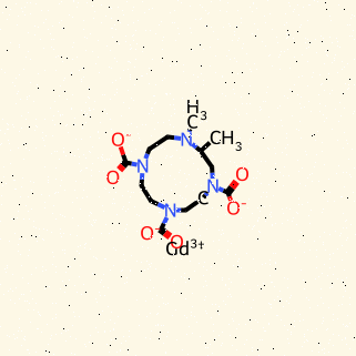 CC1CN(C(=O)[O-])CCN(C(=O)[O-])CCN(C(=O)[O-])CCN1C.[Gd+3]